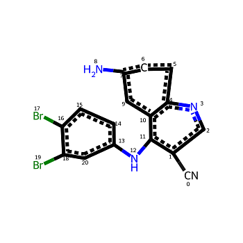 N#Cc1cnc2ccc(N)cc2c1Nc1ccc(Br)c(Br)c1